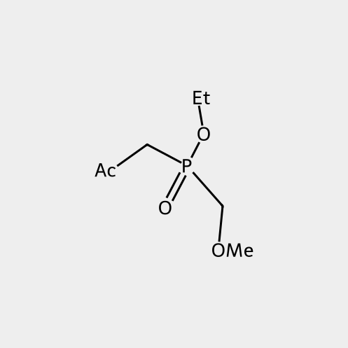 CCOP(=O)(COC)CC(C)=O